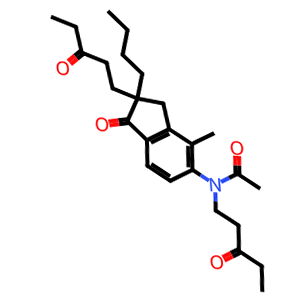 CCCCC1(CCC(=O)CC)Cc2c(ccc(N(CCC(=O)CC)C(C)=O)c2C)C1=O